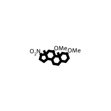 COC1CCC2CCC3C4CCC([N+](=O)[O-])C4(C)CC(OC)C3C2(C)C1